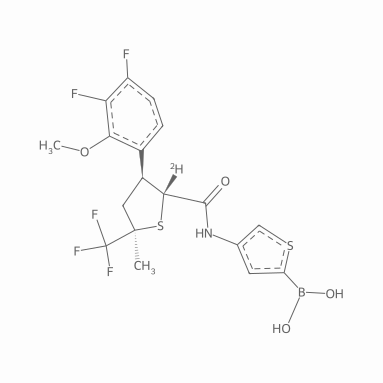 [2H][C@@]1(C(=O)Nc2csc(B(O)O)c2)S[C@@](C)(C(F)(F)F)C[C@H]1c1ccc(F)c(F)c1OC